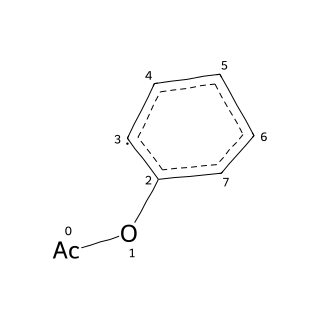 CC(=O)Oc1[c]cccc1